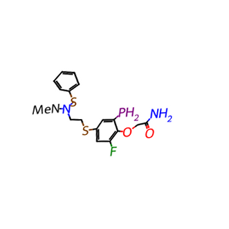 CNN(CCSc1cc(F)c(OCC(N)=O)c(P)c1)Sc1ccccc1